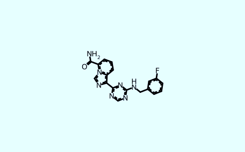 NC(=O)c1cccc2c(-c3ncnc(NCc4cccc(F)c4)n3)ncn12